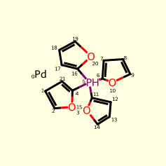 [Pd].c1coc([PH](c2ccco2)(c2ccco2)c2ccco2)c1